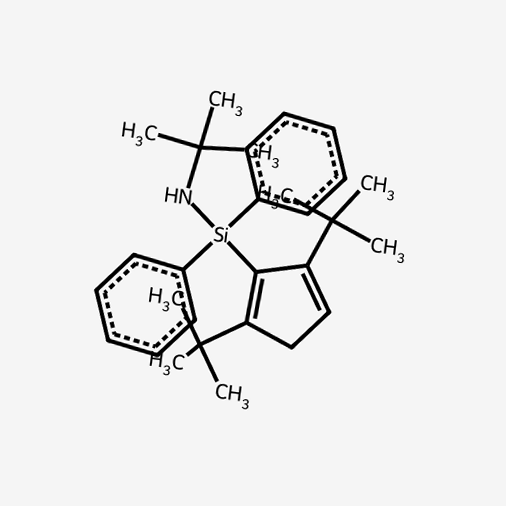 CC(C)(C)N[Si](C1=C(C(C)(C)C)CC=C1C(C)(C)C)(c1ccccc1)c1ccccc1